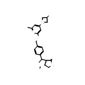 Cc1cc(N2CC(F)C2)cc(OCc2ccc(C(C)[C@@]3(C)C(=O)NC[C@@H]3CO)cc2)n1